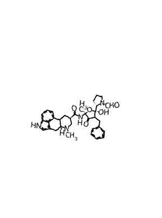 CN1C[C@H](C(=O)N[C@@]2(C)O[C@@](O)([C@@H]3CCCN3C=O)C(Cc3ccccc3)C2=O)CC2c3cccc4[nH]cc(c34)C[C@H]21